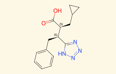 O=C(O)[C@@H](CC1CC1)[C@H](Cc1ccccc1)c1nnn[nH]1